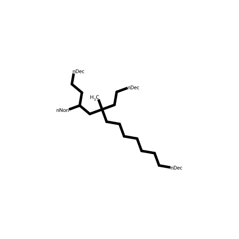 CCCCCCCCCCCCCCCCCC(C)(CCCCCCCCCCCC)CC(CCCCCCCCC)CCCCCCCCCCCC